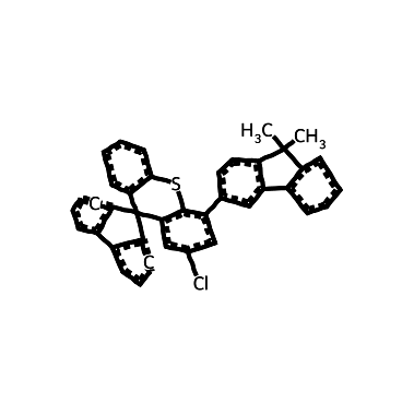 CC1(C)c2ccccc2-c2cc(-c3cc(Cl)cc4c3Sc3ccccc3C43c4ccccc4-c4ccccc43)ccc21